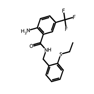 CCSc1ccccc1CNC(=O)c1cc(C(F)(F)F)ccc1N